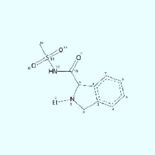 CCN1Cc2ccccc2C1C(=O)NS(C)(=O)=O